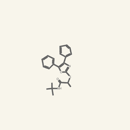 CC(Sc1nc(-c2ccccc2)c(-c2ccccc2)o1)C(=O)NC(C)(C)C